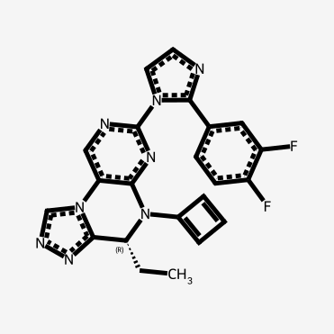 CC[C@@H]1c2nncn2-c2cnc(-n3ccnc3-c3ccc(F)c(F)c3)nc2N1C1=CC=C1